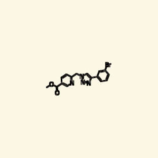 COC(=O)c1ccc(Cn2cc(-c3cccc(Br)c3)nn2)nc1